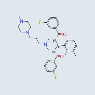 Cc1cccc([C@@H]2[C@@H](C(=O)c3cccc(F)c3)CN(CCCN3CCN(C)CC3)C[C@H]2C(=O)c2cccc(F)c2)c1C